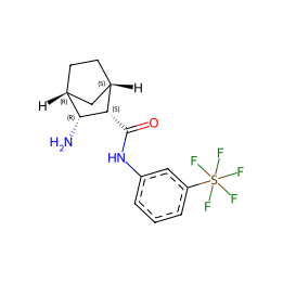 N[C@@H]1[C@@H]2CC[C@@H](C2)[C@@H]1C(=O)Nc1cccc(S(F)(F)(F)(F)F)c1